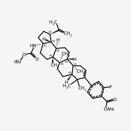 C=C(C)[C@@H]1CC[C@]2(NC(=O)OC(C)(C)C)CC[C@]3(C)[C@H](CC[C@@H]4[C@@]5(C)CC=C(c6ccc(C(=O)OC)c(F)c6)C(C)(C)[C@@H]5CC[C@]43C)[C@@H]12